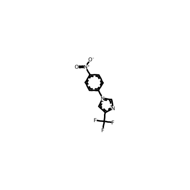 O=[N+]([O-])c1ccc(-n2cnc(C(F)(F)F)c2)cc1